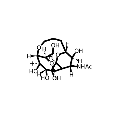 CC(=O)N[C@@H]1C2[C@@H](CO)O[C@H](CCCO[C@H]3[C@H](O)[C@@H](O)[C@@]2(C)O[C@@H]3CO)[C@H]1O